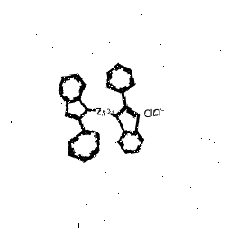 C1=C(c2ccccc2)[CH]([Zr+2][CH]2C(c3ccccc3)=Cc3ccccc32)c2ccccc21.[Cl-].[Cl-]